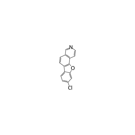 Clc1ccc2c(c1)oc1c3ccncc3ccc21